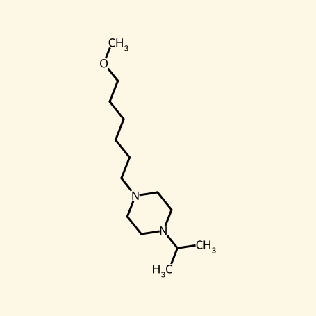 COCCCCCCN1CCN(C(C)C)CC1